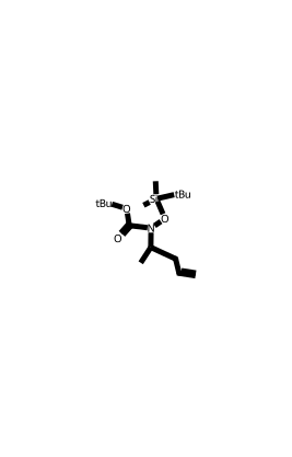 C=CCC(C)N(O[Si](C)(C)C(C)(C)C)C(=O)OC(C)(C)C